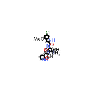 COc1cc(Cl)cc2[nH]c(C(=O)NC(C[Si](C)(C)C)C(=O)NC(C#N)C[C@@H]3CCCNC3=O)cc12